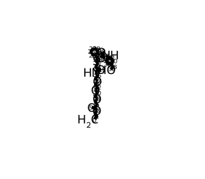 C=CCOC(=O)CCOCCOCCOCCNC(=O)CCSS[C@H]1CCCC[C@@H]1OC(=O)Nc1ccc(CO)cc1